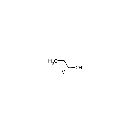 CCCC.[V]